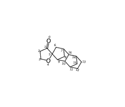 O=C1CCOC12CC1CC2C2C3CCC(C3)C12